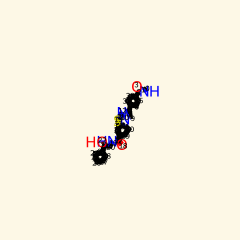 CNC(=O)c1ccc(-c2cn3c(n2)sc2cc(C(=O)NC[C@H](O)c4ccccc4)ccc23)cc1